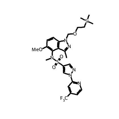 COc1ccc2c(c(C)nn2COCC[Si](C)(C)C)c1N(C)S(=O)(=O)c1cnn(-c2cc(C(F)(F)F)ccn2)c1